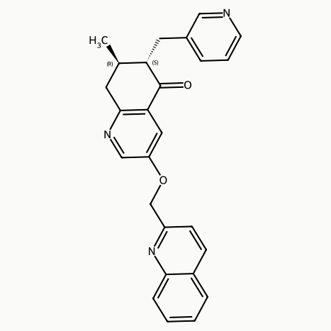 C[C@@H]1Cc2ncc(OCc3ccc4ccccc4n3)cc2C(=O)[C@H]1Cc1cccnc1